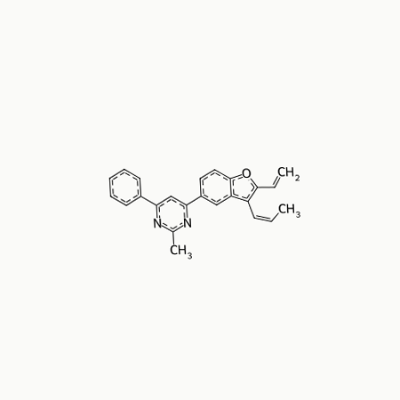 C=Cc1oc2ccc(-c3cc(-c4ccccc4)nc(C)n3)cc2c1/C=C\C